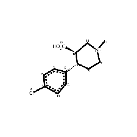 CN1CC[C@H](c2ccc(Cl)cc2)[C@@H](C(=O)O)C1